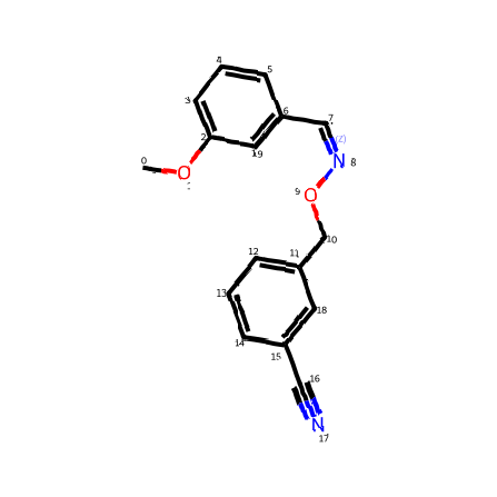 COc1cccc(/[C]=N\OCc2cccc(C#N)c2)c1